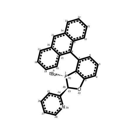 CC(C)(C)[P@]1c2c(cccc2-c2c3ccccc3cc3ccccc23)O[C@H]1c1ccccn1